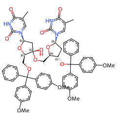 COc1ccc(C(OC[C@H]2O[C@@H](n3cc(C)c(=O)[nH]c3=O)C[C@]2(O)O[CH][C@H]2O[C@@H](n3cc(C)c(=O)[nH]c3=O)C[C@@H]2OC(c2ccccc2)(c2ccc(OC)cc2)c2ccc(OC)cc2)(c2ccccc2)c2ccc(OC)cc2)cc1